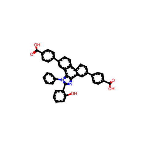 O=C(O)c1ccc(-c2ccc3c4ccc(-c5ccc(C(=O)O)cc5)cc4c4c(nc(-c5ccccc5O)n4-c4ccccc4)c3c2)cc1